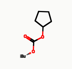 CC[C@@H](C)OC(=O)OC1CCCC1